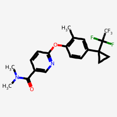 Cc1cc(C2(C(F)(F)C(F)(F)F)CC2)ccc1Oc1ccc(C(=O)N(C)C)cn1